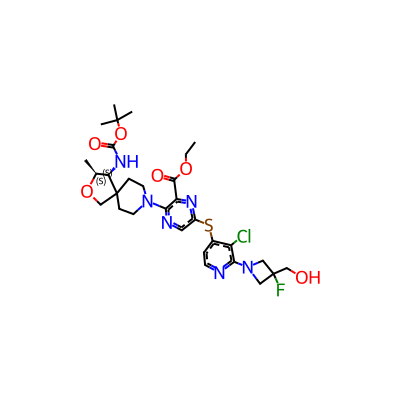 CCOC(=O)c1nc(Sc2ccnc(N3CC(F)(CO)C3)c2Cl)cnc1N1CCC2(CC1)CO[C@@H](C)[C@H]2NC(=O)OC(C)(C)C